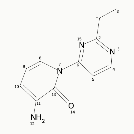 CCc1nccc(-n2cccc(N)c2=O)n1